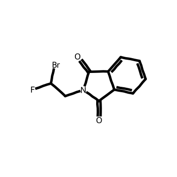 O=C1c2ccccc2C(=O)N1CC(F)Br